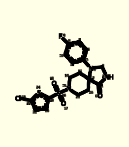 O=C1NCN(c2ccc(F)cc2)C12CCN(S(=O)(=O)c1ccc(Cl)s1)CC2